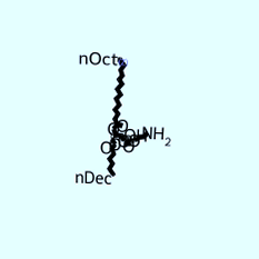 CCCCCCCC/C=C\CCCCCCCCCCCC(=O)O[C@H](COC(=O)CCCCCCCCCCCCCCC)COP(=O)(O)OCCN